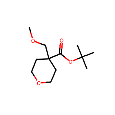 COCC1(C(=O)OC(C)(C)C)CCOCC1